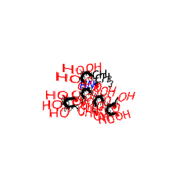 CC(=O)N[C@H]1[C@H](O[C@H]2[C@@H](O)[C@@H](CO)O[C@@H](O[C@H]3[C@H](O)[C@@H](O)C(O)O[C@@H]3CO)[C@@H]2O)O[C@H](CO)[C@@H](O[C@@H]2O[C@H](CO)[C@H](O)[C@H](O)[C@H]2O)[C@@H]1O[C@@H]1O[C@@H](C)[C@@H](O)[C@@H](O)[C@@H]1O